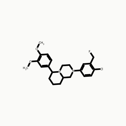 COc1ccc(C2CCCC3CN(c4ccc(Cl)c(CF)c4)CCN32)cc1OC